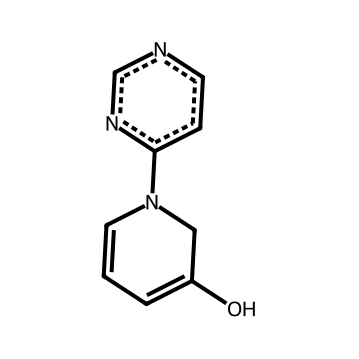 OC1=CC=CN(c2ccncn2)C1